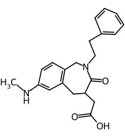 CNc1ccc2c(c1)CC(CC(=O)O)C(=O)N(CCc1ccccc1)C2